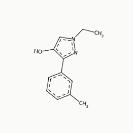 CCn1cc(O)c(-c2cccc(C)c2)n1